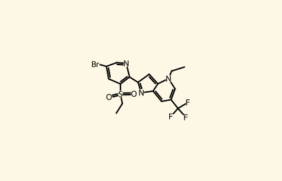 CCn1cc(C(F)(F)F)cc2nc(-c3ncc(Br)cc3S(=O)(=O)CC)cc1-2